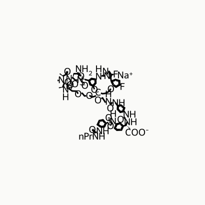 CCCNC(=O)Nc1cccc(S(=O)(=O)Nc2cccc([C@@H](CC(=O)[O-])NC(=O)Nc3ccc(NC(=O)NCCOCCOCCOCCC(=O)N[C@@H](C)C(=O)N(C)[C@@H](C)C(=O)N[C@@H](CC(N)=O)C(=O)N=[S@@](C)(=O)Cc4cc5cc(c4)OCCCCOc4cc(F)ccc4-c4nc(ncc4F)N5)cc3)c2)c1.[Na+]